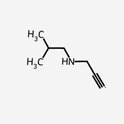 [C]#CCNCC(C)C